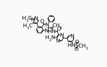 Cc1c(-c2cccc3nc([C@H](C)NC(=O)c4nc(-c5cncc(NS(C)(=O)=O)c5)cnc4N)n(-c4ccccc4)c(=O)c23)cnn1C